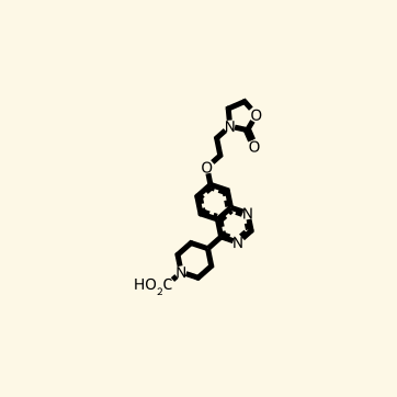 O=C(O)N1CCC(c2ncnc3cc(OCCN4CCOC4=O)ccc23)CC1